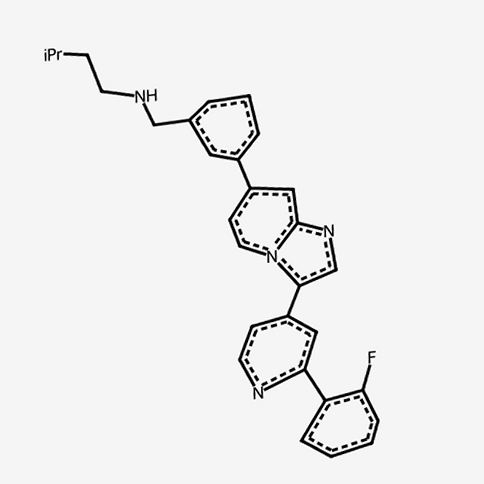 CC(C)CCNCc1cccc(-c2ccn3c(-c4ccnc(-c5ccccc5F)c4)cnc3c2)c1